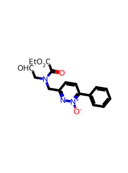 CCOC(=O)C(=O)N(CC=O)Cc1ccc(-c2ccccc2)[n+]([O-])n1